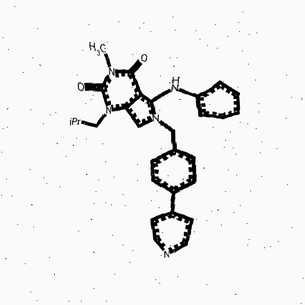 CC(C)Cn1c(=O)n(C)c(=O)c2c(Nc3ccccc3)n(Cc3ccc(-c4ccncc4)cc3)cc21